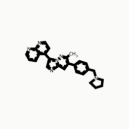 Cc1nn2c(-c3ccnc4ncccc34)cnc2cc1-c1ccc(CN2CCCC2)cc1